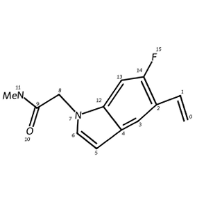 C=Cc1cc2ccn(CC(=O)NC)c2cc1F